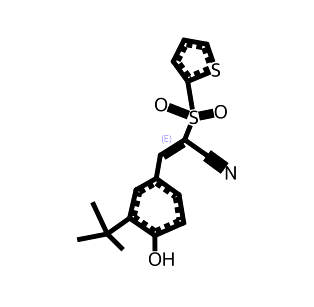 CC(C)(C)c1cc(/C=C(\C#N)S(=O)(=O)c2cccs2)ccc1O